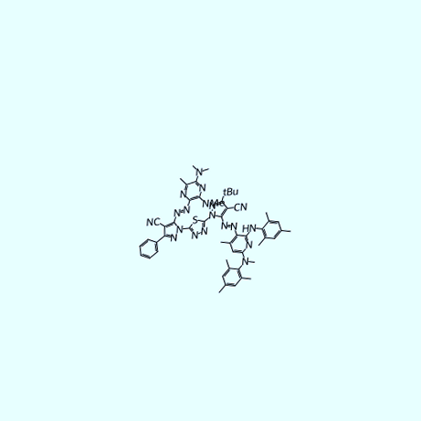 CNc1nc(N(C)C)c(C)nc1N=Nc1c(C#N)c(-c2ccccc2)nn1-c1nnc(-n2nc(C(C)(C)C)c(C#N)c2N=Nc2c(C)cc(N(C)c3c(C)cc(C)cc3C)nc2Nc2c(C)cc(C)cc2C)s1